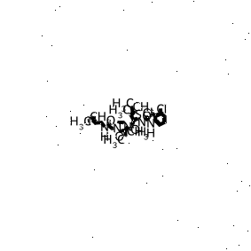 CCC1(C)C(=O)N(CC(=O)NCCN(C)C)CCN1C(=O)c1cc(C(C)(C)C)sc1NC(=O)Nc1cccc(Cl)c1Cl